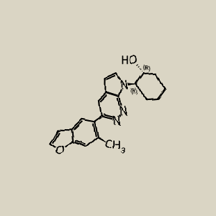 Cc1cc2occc2cc1-c1cc2ccn([C@@H]3CCCC[C@H]3O)c2nn1